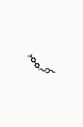 CCCC1CCN(CCOc2ccc(-c3ccc(C(C)=O)cc3)cc2)CC1